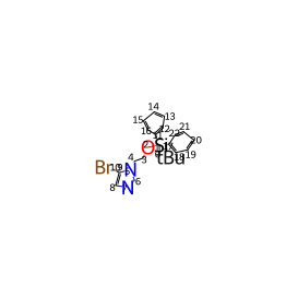 CC(C)(C)[Si](OCCn1cncc1Br)(c1ccccc1)c1ccccc1